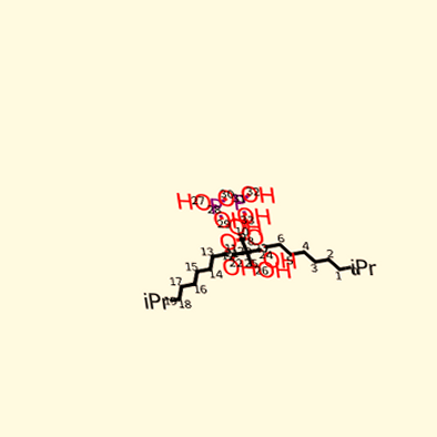 CC(C)CCCCCCCOC(O)(OCCCCCCCC(C)C)C(CO)(CO)CO.OP(O)OP(O)O